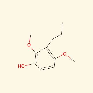 CCCc1c(OC)ccc(O)c1OC